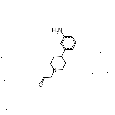 Nc1cccc(C2CCN(CC=O)CC2)c1